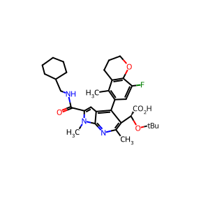 Cc1nc2c(cc(C(=O)NCC3CCCCC3)n2C)c(-c2cc(F)c3c(c2C)CCCO3)c1[C@H](OC(C)(C)C)C(=O)O